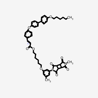 CCCCCCOc1ccc(-c2ccc(Oc3ccc(/C=C/C(=O)OCCCCCCOc4cc(C)cc(N5C(=O)C6C7C(=O)N(C)C(=O)C7C6C5=O)c4)cc3)cc2)cc1